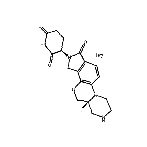 Cl.O=C1CC[C@@H](N2Cc3c(ccc4c3OC[C@H]3CNCCN43)C2=O)C(=O)N1